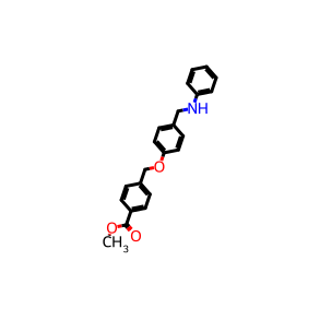 COC(=O)c1ccc(COc2ccc(CNc3ccccc3)cc2)cc1